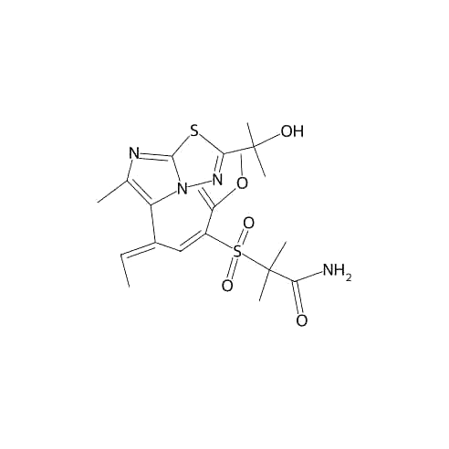 C=C(OC)/C(=C\C(=C/C)c1c(C)nc2sc(C(C)(C)O)nn12)S(=O)(=O)C(C)(C)C(N)=O